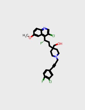 COc1ccc2ncc(Cl)c([C@@H](F)CCC3(CO)CCN(CC#Cc4ccc(F)c(Cl)c4)CC3)c2c1